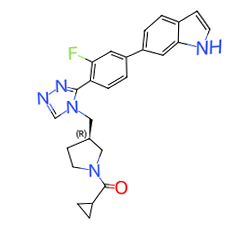 O=C(C1CC1)N1CC[C@@H](Cn2cnnc2-c2ccc(-c3ccc4cc[nH]c4c3)cc2F)C1